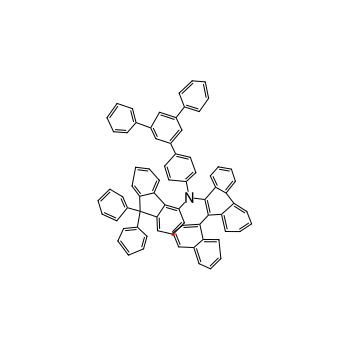 c1ccc(-c2cc(-c3ccccc3)cc(-c3ccc(N(c4cccc5c4-c4ccccc4C5(c4ccccc4)c4ccccc4)c4c(-c5cccc6ccccc56)c5ccccc5c5ccccc45)cc3)c2)cc1